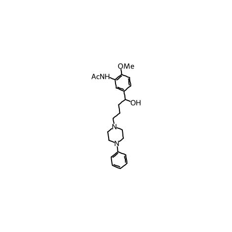 COc1ccc(C(O)CCCN2CCN(c3ccccc3)CC2)cc1NC(C)=O